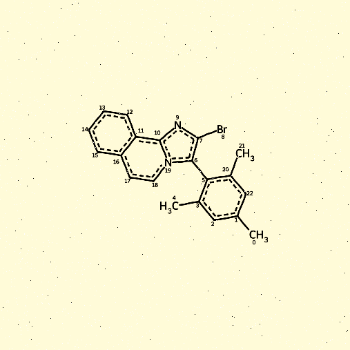 Cc1cc(C)c(-c2c(Br)nc3c4ccccc4ccn23)c(C)c1